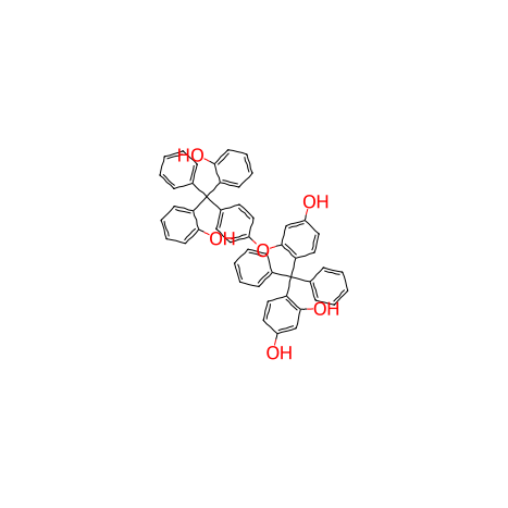 Oc1ccc(C(c2ccccc2)(c2ccccc2)c2ccc(O)cc2Oc2ccc(C(c3ccccc3)(c3ccccc3O)c3ccccc3O)cc2)c(O)c1